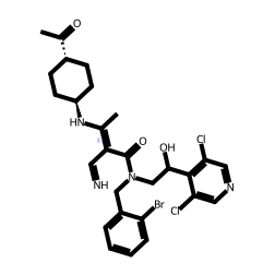 C/C(N[C@H]1CC[C@H](C(C)=O)CC1)=C(/C=N)C(=O)N(Cc1ccccc1Br)CC(O)c1c(Cl)cncc1Cl